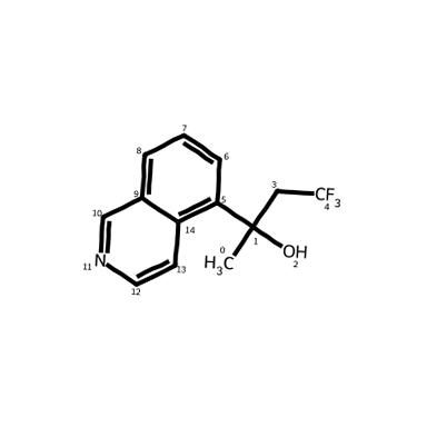 CC(O)(CC(F)(F)F)c1cccc2cnccc12